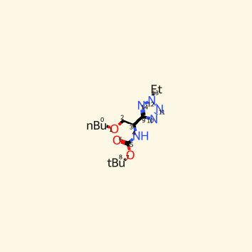 CCCCOC[C@H](NC(=O)OC(C)(C)C)c1nnn(CC)n1